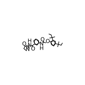 CCC(C)(C)c1ccc(OCC(=O)Nc2cccc(C(=O)NN3N=CCC3=O)c2)c(C(C)(C)CC)c1